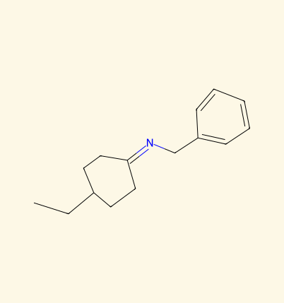 CCC1CCC(=NCc2ccccc2)CC1